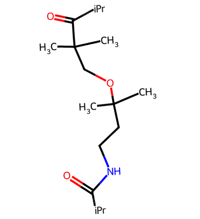 CC(C)C(=O)NCCC(C)(C)OCC(C)(C)C(=O)C(C)C